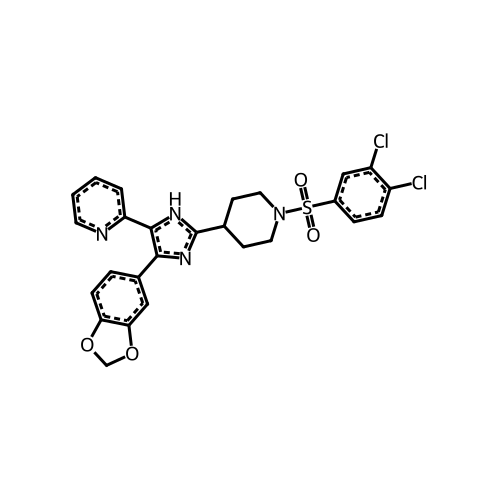 O=S(=O)(c1ccc(Cl)c(Cl)c1)N1CCC(c2nc(-c3ccc4c(c3)OCO4)c(-c3ccccn3)[nH]2)CC1